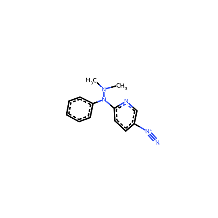 CN(C)N(c1ccccc1)c1ccc([N+]#N)cn1